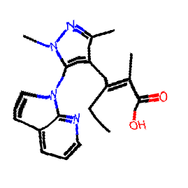 CCC(=C(C)C(=O)O)c1c(C)nn(C)c1-n1ccc2cccnc21